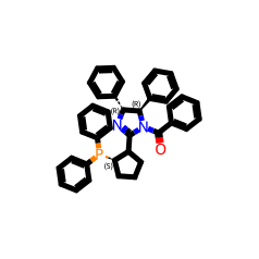 O=C(c1ccccc1)N1C(C2CCC[C@@H]2P(c2ccccc2)c2ccccc2)=N[C@H](c2ccccc2)[C@H]1c1ccccc1